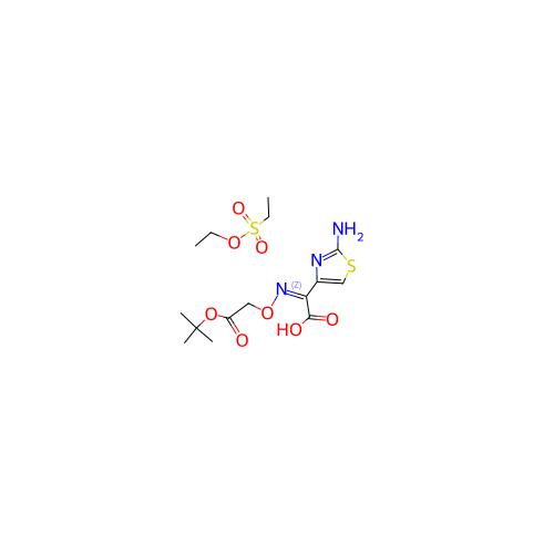 CC(C)(C)OC(=O)CO/N=C(\C(=O)O)c1csc(N)n1.CCOS(=O)(=O)CC